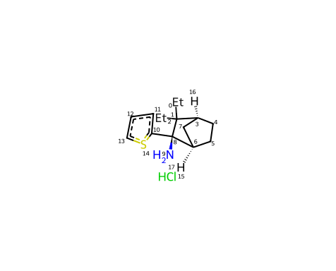 CCC1(CC)[C@H]2CC[C@H](C2)[C@]1(N)c1cccs1.Cl